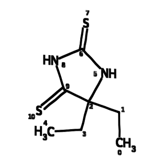 CCC1(CC)NC(=S)NC1=S